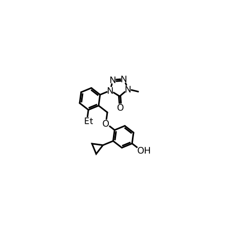 CCc1cccc(-n2nnn(C)c2=O)c1COc1ccc(O)cc1C1CC1